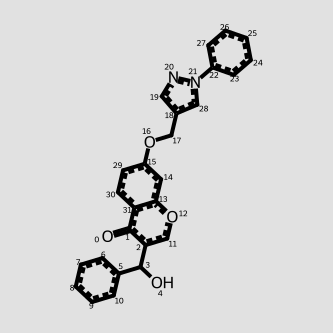 O=c1c(C(O)c2ccccc2)coc2cc(OCc3cnn(-c4ccccc4)c3)ccc12